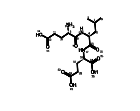 CC(C)C[C@H](NC(=O)[C@@H](N)CCC(=O)O)C(=O)N[C@@H](CCC(=O)O)C(=O)O